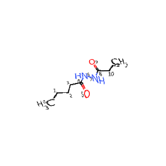 CCCCC(=O)NNC(=O)CC